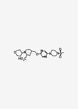 CS(=O)(=O)N1CCN(c2cnc(OCC3CCN(C4CCOCC4)C(C(=O)O)C3)cn2)CC1